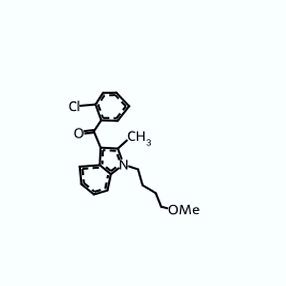 COCCCCn1c(C)c(C(=O)c2ccccc2Cl)c2ccccc21